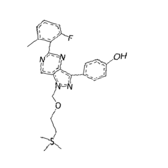 Cc1cccc(F)c1-c1ncc2c(n1)c(-c1ccc(O)cc1)nn2COCCS(C)(C)C